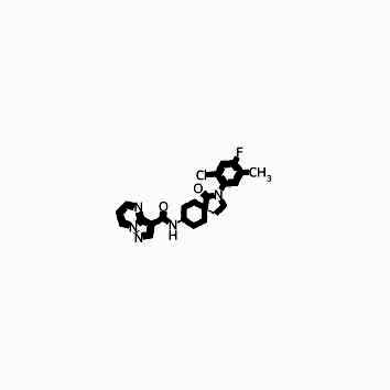 Cc1cc(N2CC[C@]3(CC[C@@H](NC(=O)c4cnn5cccnc45)CC3)C2=O)c(Cl)cc1F